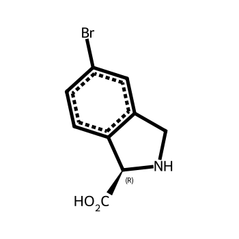 O=C(O)[C@@H]1NCc2cc(Br)ccc21